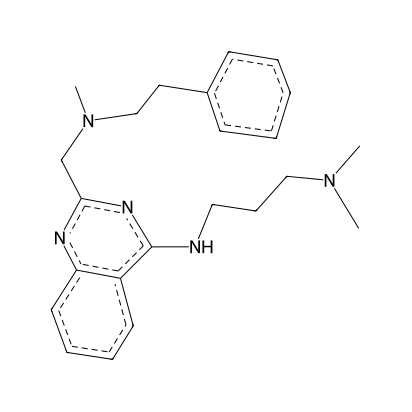 CN(C)CCCNc1nc(CN(C)CCc2ccccc2)nc2ccccc12